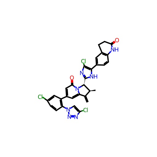 C=C1c2cc(-c3cc(Cl)ccc3-n3cc(Cl)nn3)cc(=O)n2[C@H](c2nc(Cl)c(-c3ccc4c(c3)CCC(=O)N4)[nH]2)[C@H]1C